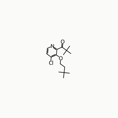 CC(C)(C)CCOc1c(Cl)ccnc1C(=O)C(C)(C)C